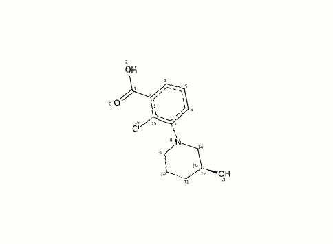 O=C(O)c1cccc(N2CCC[C@H](O)C2)c1Cl